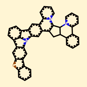 c1ccc2c(c1)-c1cccc[n+]1C1c3c(c4cc5c(cc4c4cccc[n+]34)c3cccc4c6cc7sc8ccccc8c7cc6n5c34)CC21